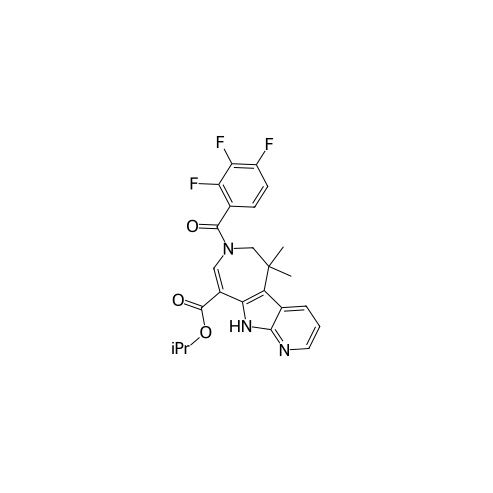 CC(C)OC(=O)C1=CN(C(=O)c2ccc(F)c(F)c2F)CC(C)(C)c2c1[nH]c1ncccc21